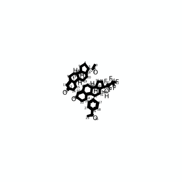 CC(=O)[C@H]1CC[C@H]2[C@@H]3CCC4=CC(=O)CC[C@]4(C)[C@H]3CC[C@]12C.CC(=O)c1ccc([C@H]2C[C@@]3(C)[C@@H](CC[C@@]3(O)C(F)(F)C(F)(F)F)[C@@H]3CCC4=CC(=O)CCC4=C32)cc1